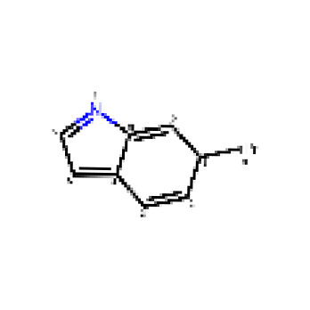 CC(C)C1C=CC2=CC=NC2=C1